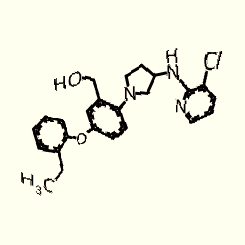 CCc1ccccc1Oc1ccc(N2CCC(Nc3ncccc3Cl)C2)c(CO)c1